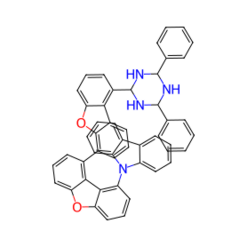 c1ccc(C2NC(c3ccccc3)NC(c3cccc4oc5c(-c6cccc7oc8cccc(-n9c%10ccccc%10c%10ccccc%109)c8c67)cccc5c34)N2)cc1